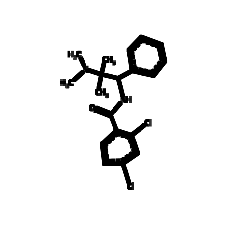 CN(C)C(C)(C)C(NC(=O)c1ccc(Cl)cc1Cl)c1ccccc1